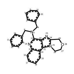 c1ccc(CN(Cc2ccccc2)c2nc3ccccc3c3c2nc2n3CCOC2)cc1